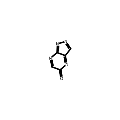 O=C1C=NC2=NN=CC2=N1